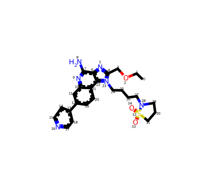 CCOCc1nc2c(N)nc3cc(-c4ccncc4)ccc3c2n1CCCCN1CCCS1(=O)=O